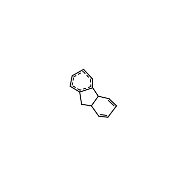 C1=CC2Cc3ccccc3C2C=C1